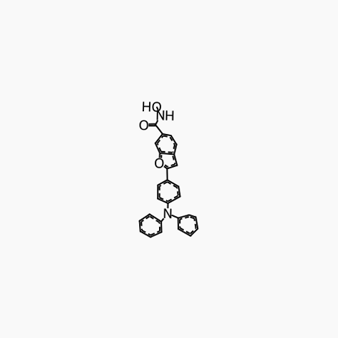 O=C(NO)c1ccc2cc(-c3ccc(N(c4ccccc4)c4ccccc4)cc3)oc2c1